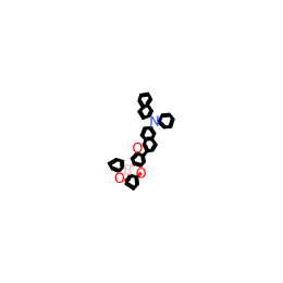 c1ccc(N(c2ccc3ccccc3c2)c2ccc3c(ccc4c5cc6c(cc5oc34)B3c4ccccc4Oc4cccc(c43)O6)c2)cc1